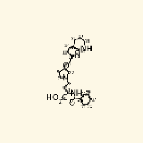 O=C(NC(CCN1CCC(OCc2ccc3c(n2)NCCC3)C1)C(=O)O)c1ccccc1